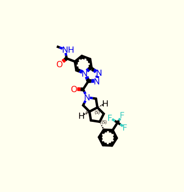 CNC(=O)c1ccc2nnc(C(=O)N3C[C@H]4C[C@H](c5ccccc5C(F)(F)F)C[C@H]4C3)n2c1